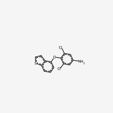 Nc1cc(Cl)c(Oc2cccc3sccc23)c(Cl)c1